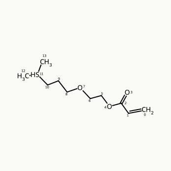 C=CC(=O)OCCOCCC[SH](C)C